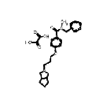 CN(Cc1ccccc1)C(=O)c1ccc(OCCCN2CC3CCCC3C2)cc1.O=C(O)C(=O)O